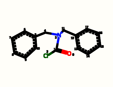 O=C(Cl)N(Cc1ccccc1)Cc1ccccc1